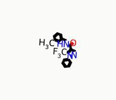 Cc1cccc(CNC(=O)c2cnn(-c3ccccc3)c2C(F)(F)F)c1